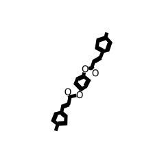 Cc1ccc(C=CC(=O)Oc2ccc(OC(=O)C=Cc3ccc(C)cc3)cc2)cc1